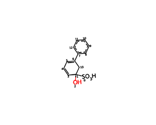 O=S(=O)(O)C1(O)C=CC=C(c2ccccc2)C1